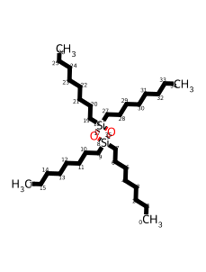 CCCCCCCC[Si]1(CCCCCCCC)O[Si](CCCCCCCC)(CCCCCCCC)O1